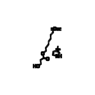 CCCCCCCCCCCCCCCCCOC(=O)CCO.C[n+]1cc[nH]c1